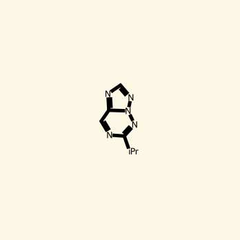 CC(C)c1ncc2ncnn2n1